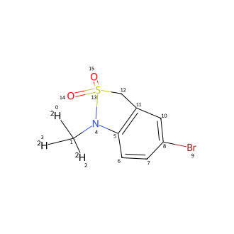 [2H]C([2H])([2H])N1c2ccc(Br)cc2CS1(=O)=O